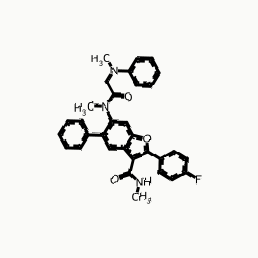 CNC(=O)c1c(-c2ccc(F)cc2)oc2cc(N(C)C(=O)CN(C)c3ccccc3)c(-c3ccccc3)cc12